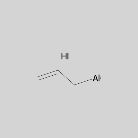 C=C[CH2][Al].I